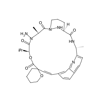 CC(C)[C@@H]1OC(=O)C2(/C=C/c3ccc4ccc(nc4c3)[C@@H](C)NC(=O)[C@@H]3CCCN(N3)C(=O)[C@H](C)N(N)C1=O)CCCCO2